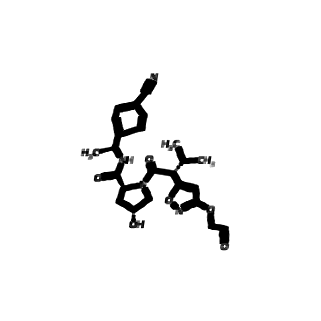 CC(C)[C@@H](C(=O)N1C[C@H](O)C[C@H]1C(=O)N[C@@H](C)c1ccc(C#N)cc1)c1cc(OCC=O)no1